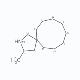 CC1CC2(CCCCCCCC2)CN1